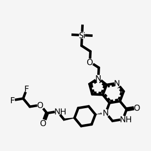 C[Si](C)(C)CCOCn1ccc2c3c(cnc21)C(=O)NCN3[C@H]1CC[C@H](CNC(=O)OCC(F)F)CC1